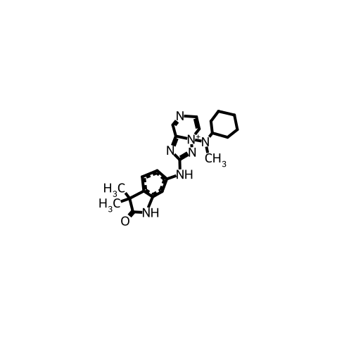 CN(C1CCCCC1)[N+]12C=CN=CC1=NC(Nc1ccc3c(c1)NC(=O)C3(C)C)=N2